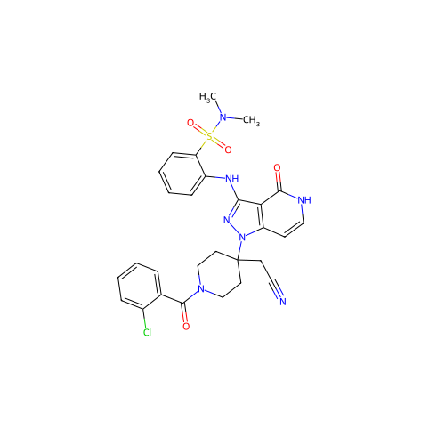 CN(C)S(=O)(=O)c1ccccc1Nc1nn(C2(CC#N)CCN(C(=O)c3ccccc3Cl)CC2)c2cc[nH]c(=O)c12